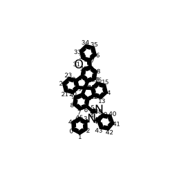 c1ccc(-n2c(-c3cccc4c3-c3ccccc3C43c4ccccc4-c4c3ccc3c4oc4ccccc43)nc3ccccc32)cc1